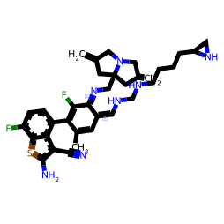 C=C1CN2CC(=C)CC2(C/N=C2/C(F)=C(c3ccc(F)c4sc(N)c(C#N)c34)C(C)=C/C2=C/NCNCCCCC2CN2)C1